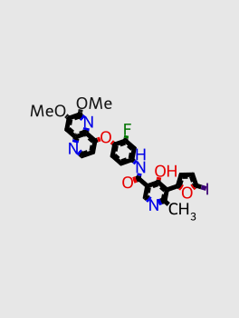 COc1cc2nccc(Oc3ccc(NC(=O)c4cnc(C)c(-c5ccc(I)o5)c4O)cc3F)c2nc1OC